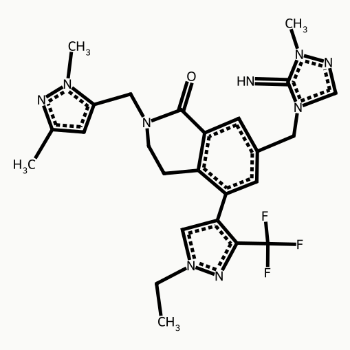 CCn1cc(-c2cc(Cn3cnn(C)c3=N)cc3c2CCN(Cc2cc(C)nn2C)C3=O)c(C(F)(F)F)n1